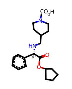 O=C(OC1CCCC1)[C@@H](NCC1CCN(C(=O)O)CC1)c1ccccc1